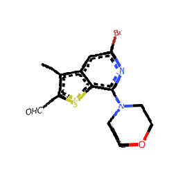 Cc1c(C=O)sc2c(N3CCOCC3)nc(Br)cc12